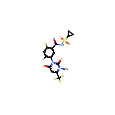 Cn1c(C(F)(F)F)cc(=O)n(-c2cc(C(=O)NS(=O)(=O)C3CC3)c(F)cc2F)c1=O